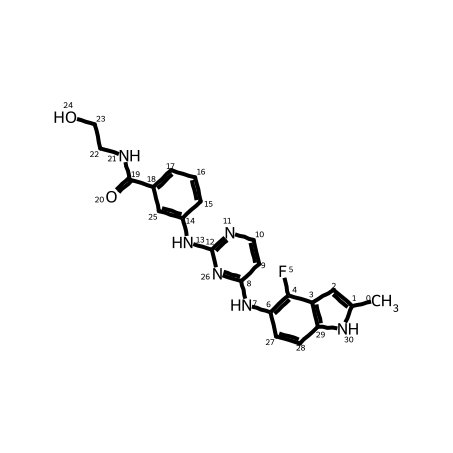 Cc1cc2c(F)c(Nc3ccnc(Nc4cccc(C(=O)NCCO)c4)n3)ccc2[nH]1